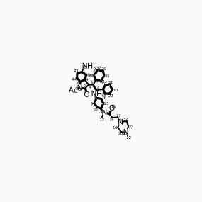 CC(=O)N1C(=O)C(C(=C(Nc2ccc(N(C)C(=O)CCN3CCN(C)CC3)cc2)c2ccccc2)c2ccccc2)c2cc(N)ccc21